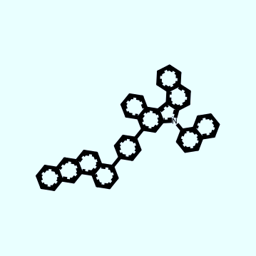 c1ccc2cc3c(ccc4c(-c5ccc(-c6cc7c(c8ccccc68)c6c8ccccc8ccc6n7-c6cccc7ccccc67)cc5)cccc43)cc2c1